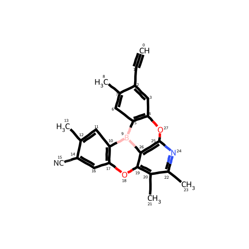 C#Cc1cc2c(cc1C)B1c3cc(C)c(C#N)cc3Oc3c(C)c(C)nc(c31)O2